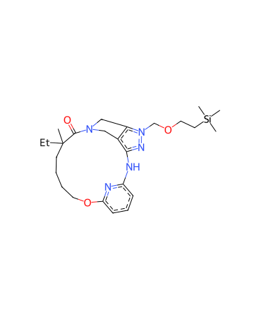 CCC1(C)CCCCOc2cccc(n2)Nc2nn(COCC[Si](C)(C)C)c3c2CN(C3)C1=O